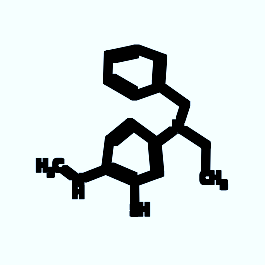 CCN(Cc1ccccc1)c1ccc(NC)c(S)c1